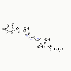 O=C(O)COCC(O)C(O)/C=C/C=C/C=C/C(O)COc1ccc(F)cc1